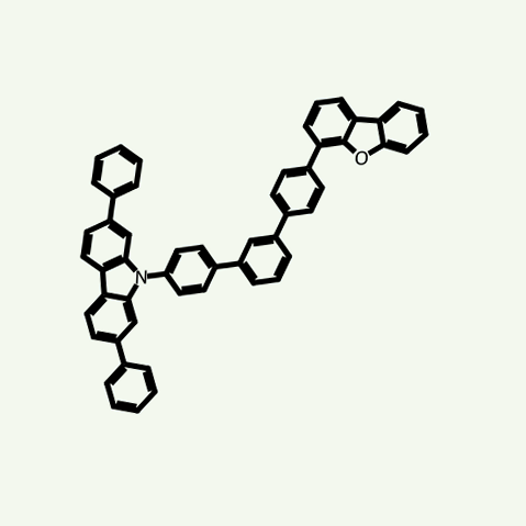 c1ccc(-c2ccc3c4ccc(-c5ccccc5)cc4n(-c4ccc(-c5cccc(-c6ccc(-c7cccc8c7oc7ccccc78)cc6)c5)cc4)c3c2)cc1